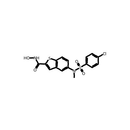 CN(c1ccc2sc(C(=O)NO)cc2c1)S(=O)(=O)c1ccc(Cl)cc1